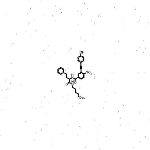 CCCCCCCCCCCCCCNC(=O)C(CCc1ccccc1)NC(=O)c1ccc([N+](=O)[O-])c(C#Cc2ccc(O)cc2)c1